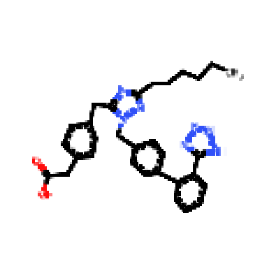 CCCCCCc1nc(Cc2ccc(CC(=O)O)cc2)n(Cc2ccc(-c3ccccc3-c3nnn[nH]3)cc2)n1